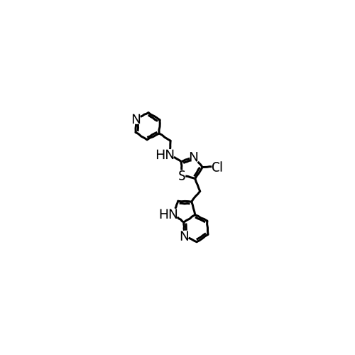 Clc1nc(NCc2ccncc2)sc1Cc1c[nH]c2ncccc12